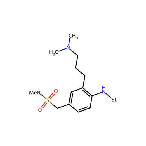 CCNc1ccc(CS(=O)(=O)NC)cc1CCCN(C)C